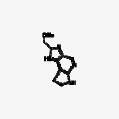 COCc1nc2cnc3[nH]ccc3c2[nH]1